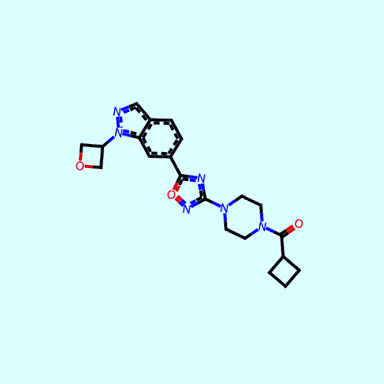 O=C(C1CCC1)N1CCN(c2noc(-c3ccc4cnn(C5COC5)c4c3)n2)CC1